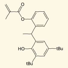 C=C(C)C(=O)Oc1ccccc1C(C)c1cc(C(C)(C)C)cc(C(C)(C)C)c1O